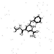 CNC(=O)C1=CC(C(=O)NC(C)C)=CC(Cc2ccccc2)N1